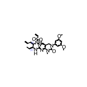 C=C/C=C(NS(=O)(=O)C=C)\C(=C/C)Nc1ncc2c(n1)N(C)C(=O)N(c1cc(OC)cc(OC)c1)C2